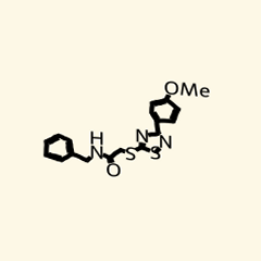 COc1ccc(-c2nsc(SCC(=O)NCc3ccccc3)n2)cc1